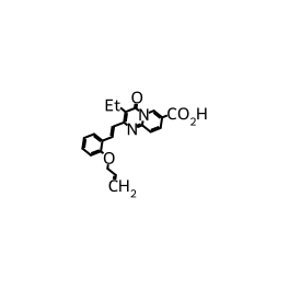 C=CCOc1ccccc1/C=C/c1nc2ccc(C(=O)O)cn2c(=O)c1CC